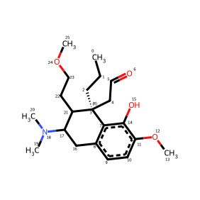 CCC[C@]1(CC=O)c2c(ccc(OC)c2O)CC(N(C)C)C1CCOC